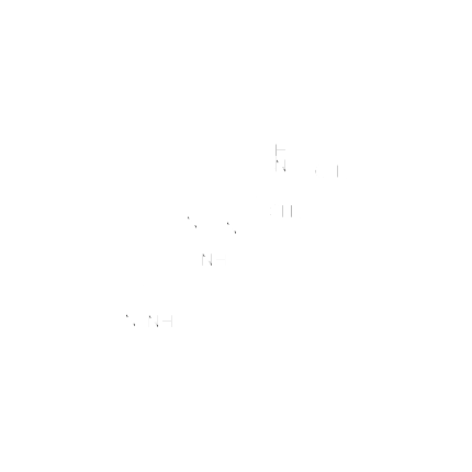 CCNc1ccc2cnc(Nc3ccc4cn[nH]c4c3)nc2c1C